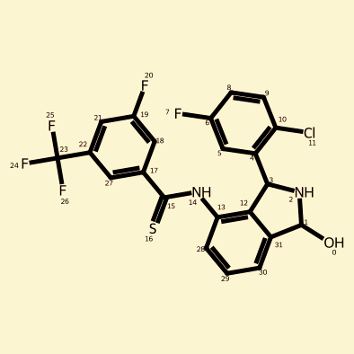 OC1NC(c2cc(F)ccc2Cl)c2c(NC(=S)c3cc(F)cc(C(F)(F)F)c3)cccc21